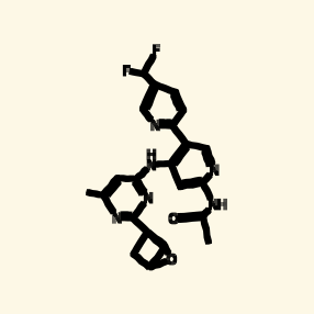 CC(=O)Nc1cc(Nc2cc(C)nc(C34COC(C3)C4)n2)c(-c2ccc(C(F)F)cn2)cn1